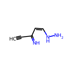 C#CC(=N)/C=C\NN